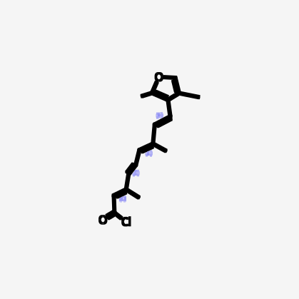 CC(/C=C/c1c(C)coc1C)=C\C=C\C(C)=C\C(=O)Cl